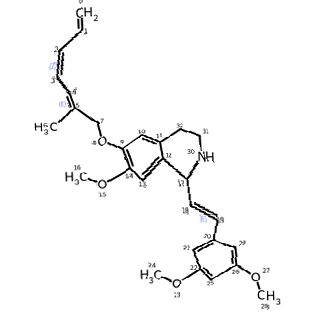 C=C/C=C\C=C(/C)COc1cc2c(cc1OC)C(/C=C/c1cc(OC)cc(OC)c1)NCC2